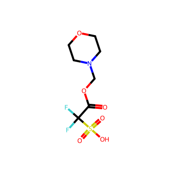 O=C(OCN1CCOCC1)C(F)(F)S(=O)(=O)O